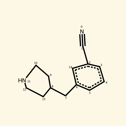 N#Cc1cccc(CC2CCNCC2)c1